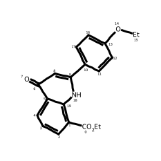 CCOC(=O)c1cccc2c(=O)cc(-c3ccc(OCC)cc3)[nH]c12